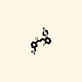 CN(C)Cc1cccc(C(=O)/C=C/c2c(F)cccc2N2CCN(C)CC2)c1